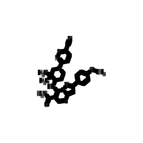 COc1ccc(-c2cc3ncc(C(N)=O)c(NC4CCN(c5ccc(C#N)nn5)CC4(C)C)n3n2)cc1